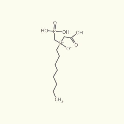 CCCCCCCC[N+]([O-])(CC(=O)O)CP(=O)(O)O